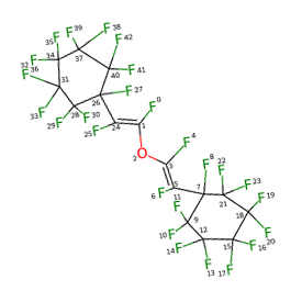 FC(OC(F)=C(F)C1(F)C(F)(F)C(F)(F)C(F)(F)C(F)(F)C1(F)F)=C(F)C1(F)C(F)(F)C(F)(F)C(F)(F)C(F)(F)C1(F)F